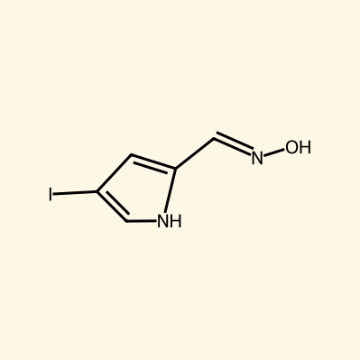 ON=Cc1cc(I)c[nH]1